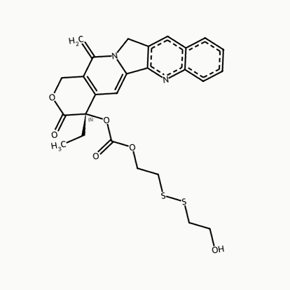 C=C1C2=C(C=C3c4nc5ccccc5cc4CN13)[C@](CC)(OC(=O)OCCSSCCO)C(=O)OC2